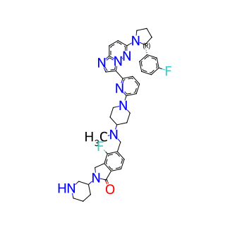 CN(Cc1ccc2c(c1F)CN(C1CCCNC1)C2=O)C1CCN(c2cccc(-c3cnc4ccc(N5CCC[C@@H]5c5cccc(F)c5)nn34)n2)CC1